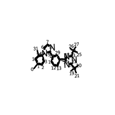 Cc1ccc(-n2ccnc2-c2cccc(-c3nc(C(C)(C)C)nc(C(C)(C)C)n3)c2)c(C)c1